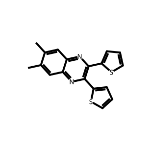 Cc1cc2nc(-c3cccs3)c(-c3cccs3)nc2cc1C